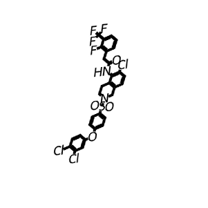 O=C(Cc1cccc(C(F)(F)F)c1F)Nc1c(Cl)ccc2c1CCN(S(=O)(=O)c1ccc(Oc3ccc(Cl)c(Cl)c3)cc1)C2